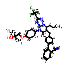 CCCc1c(Cc2ccc(-c3ccccc3C#N)cc2)c(=O)n(C2CCC(OCC(C)(C)O)CC2)c2nc(C(F)(F)F)nn12